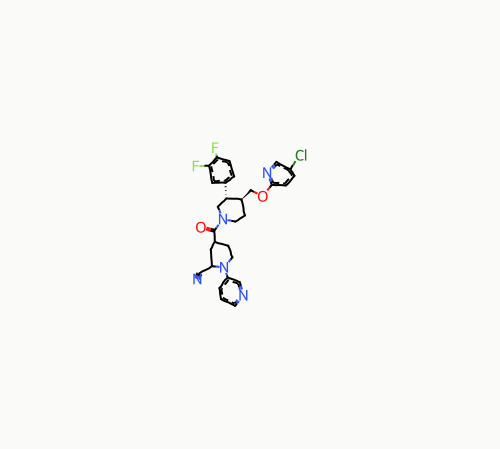 N#CC1CC(C(=O)N2CC[C@H](COc3ccc(Cl)cn3)[C@@H](c3ccc(F)c(F)c3)C2)CCN1c1cccnc1